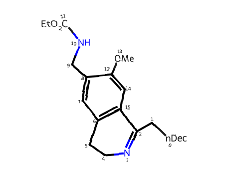 CCCCCCCCCCCC1=NCCc2cc(CNC(=O)OCC)c(OC)cc21